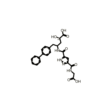 O=C(O)CNC(=O)c1cc(C(=O)NC(Cc2ccc(-c3ccccc3)cc2)C[C@@H](O)C(=O)O)[nH]n1